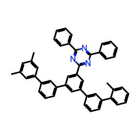 Cc1cc(C)cc(-c2cccc(-c3cc(-c4cccc(-c5ccccc5C)c4)cc(-c4nc(-c5ccccc5)nc(-c5ccccc5)n4)c3)c2)c1